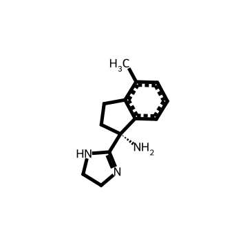 Cc1cccc2c1CC[C@]2(N)C1=NCCN1